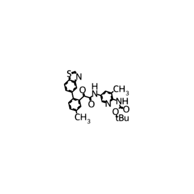 Cc1ccc(-c2ccc3scnc3c2)c(C(=O)C(=O)Nc2cnc(NC(=O)OC(C)(C)C)c(C)c2)c1